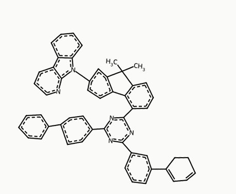 CC1(C)c2cc(-n3c4ccccc4c4cccnc43)ccc2-c2c(-c3nc(-c4ccc(-c5ccccc5)cc4)nc(-c4cccc(C5=CC=CCC5)c4)n3)cccc21